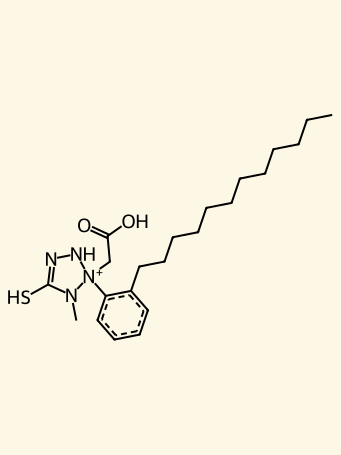 CCCCCCCCCCCCc1ccccc1[N+]1(CC(=O)O)NN=C(S)N1C